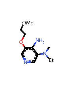 CCN(C)c1cncc(OCCOC)c1N